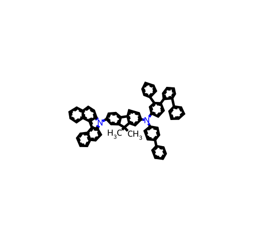 CC1(C)c2cc(N(c3ccc(-c4ccccc4)cc3)c3ccc(-c4ccccc4-c4ccccc4)c(-c4ccccc4)c3)ccc2-c2ccc(-n3c4ccc5ccccc5c4c4c5ccccc5ccc43)cc21